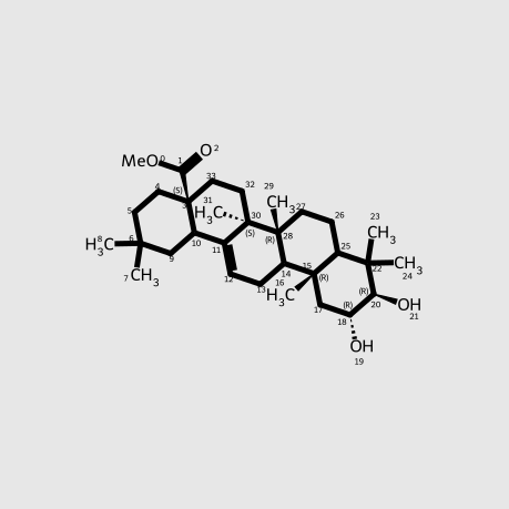 COC(=O)[C@]12CCC(C)(C)CC1C1=CCC3[C@@]4(C)C[C@@H](O)[C@H](O)C(C)(C)C4CC[C@@]3(C)[C@]1(C)CC2